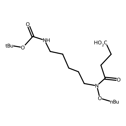 CCCCON(CCCCCNC(=O)OC(C)(C)C)C(=O)CCC(=O)O